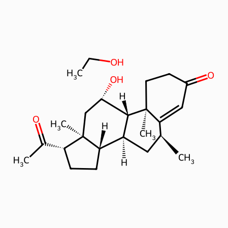 CC(=O)[C@H]1CC[C@H]2[C@@H]3C[C@H](C)C4=CC(=O)CC[C@]4(C)[C@H]3[C@@H](O)C[C@]12C.CCO